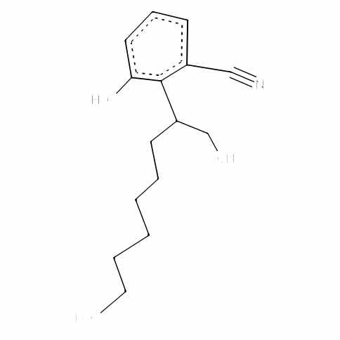 CCCCCCCC(CC)c1c(C)cccc1C#N